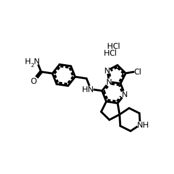 Cl.Cl.NC(=O)c1ccc(CNc2c3c(nc4c(Cl)cnn24)C2(CCNCC2)CC3)cc1